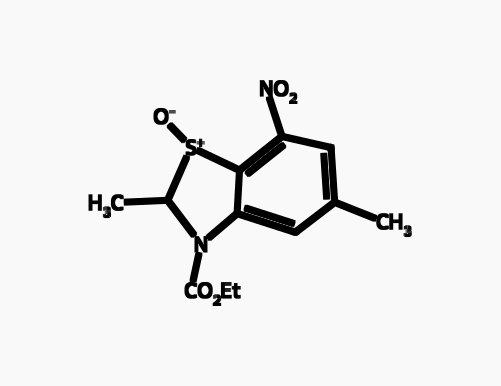 CCOC(=O)N1c2cc(C)cc([N+](=O)[O-])c2[S+]([O-])C1C